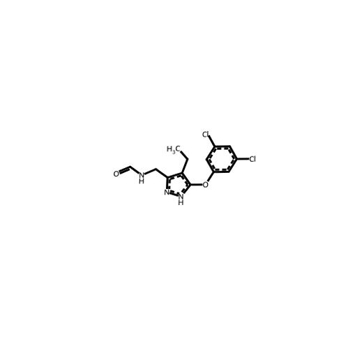 CCc1c(CNC=O)n[nH]c1Oc1cc(Cl)cc(Cl)c1